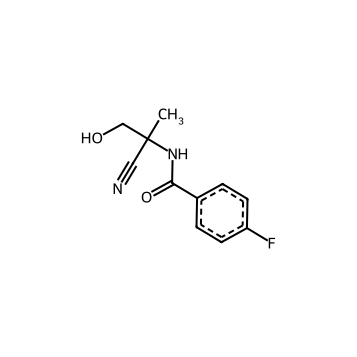 CC(C#N)(CO)NC(=O)c1ccc(F)cc1